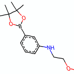 COCCNc1cccc(B2OC(C)(C)C(C)(C)O2)c1